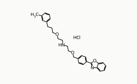 Cc1cccc(CCCOCCNCCOCc2ccc(-c3nc4ccccc4o3)cc2)c1.Cl